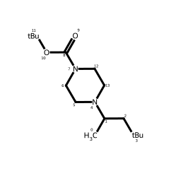 CC(CC(C)(C)C)N1CCN(C(=O)OC(C)(C)C)CC1